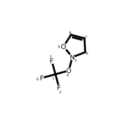 FC(F)(F)ON1C[C]=CO1